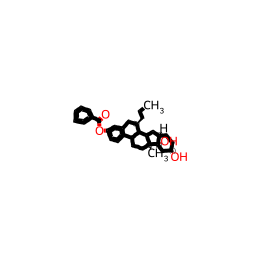 CCC[C@@H]1Cc2cc(OC(=O)c3ccccc3)ccc2C2CC[C@@]3(C)C(C[C@H]4CC[C@H](O)C[C@]43O)C21